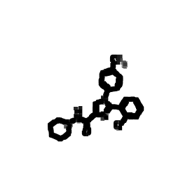 O=C(NN1CCCCC1)c1cn(-c2ccc(C(F)(F)F)cc2)c(-c2ccccc2Cl)n1